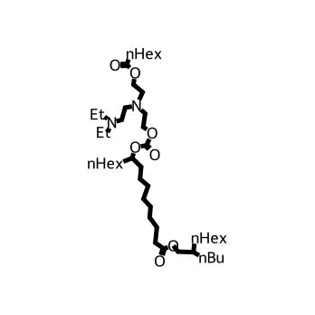 CCCCCCC(=O)OCCN(CCOC(=O)OC(CCCCCC)CCCCCCCCC(=O)OCC(CCCC)CCCCCC)CCN(CC)CC